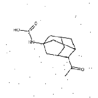 CC(=O)C1C2CC3CC1CC(NS(=O)O)(C3)C2